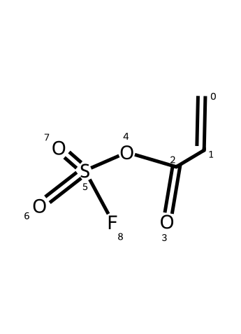 C=CC(=O)OS(=O)(=O)F